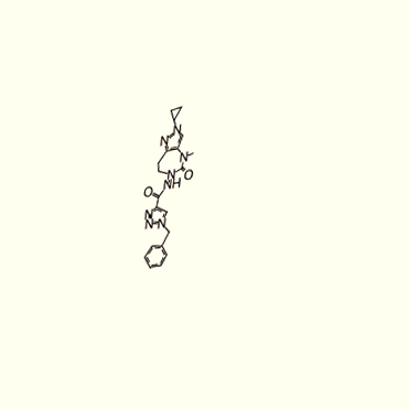 CN1C(=O)N(NC(=O)c2cn(Cc3ccccc3)nn2)CCc2nn(C3CC3)cc21